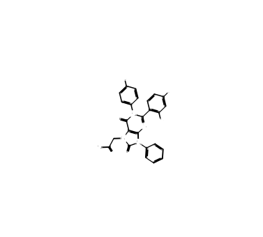 NC(=O)Cn1c(=O)n(-c2ccccc2)c2nc(-c3ccc(Cl)cc3Cl)n(-c3ccc(Cl)cc3)c(=O)c21